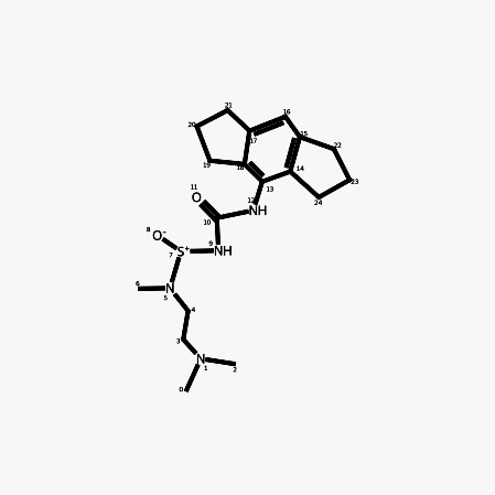 CN(C)CCN(C)[S+]([O-])NC(=O)Nc1c2c(cc3c1CCC3)CCC2